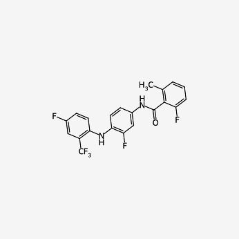 Cc1cccc(F)c1C(=O)Nc1ccc(Nc2ccc(F)cc2C(F)(F)F)c(F)c1